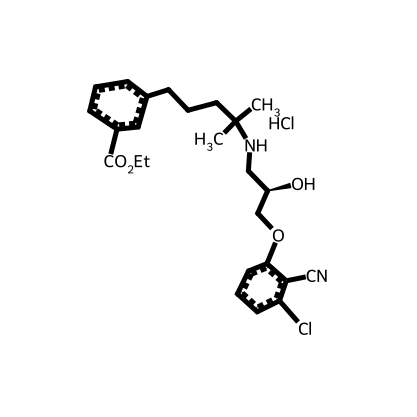 CCOC(=O)c1cccc(CCCC(C)(C)NC[C@@H](O)COc2cccc(Cl)c2C#N)c1.Cl